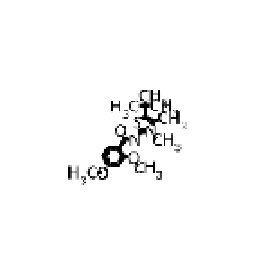 COc1ccc(C(=O)/N=c2\sc(C(C)(C)C)c(C)n2C)c(OC)c1